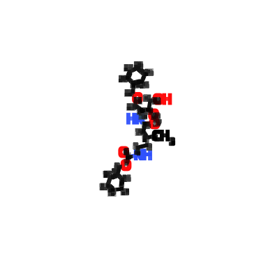 CC(CCNC(=O)OCc1ccccc1)CC(=O)NC(COCc1ccccc1)C(=O)CO